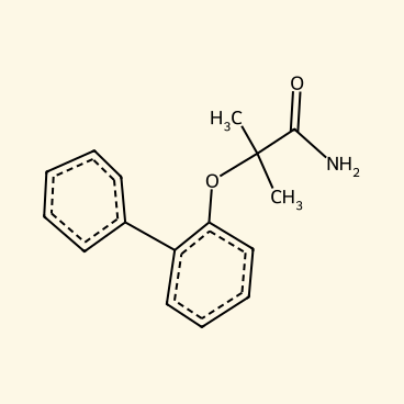 CC(C)(Oc1ccccc1-c1ccccc1)C(N)=O